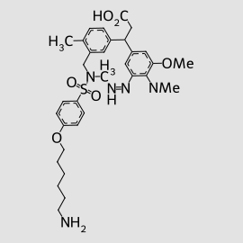 CNc1c(N=N)cc(C(CC(=O)O)c2ccc(C)c(CN(C)S(=O)(=O)c3ccc(OCCCCCCN)cc3)c2)cc1OC